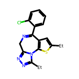 CCc1cc2c(s1)-n1c(CC)nnc1CN=C2c1ccccc1Cl